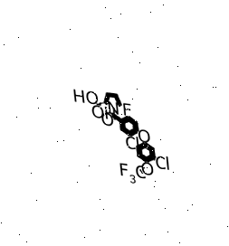 O=C(c1cc(Cl)c(Oc2ccc(OC(F)(F)F)c(Cl)c2)cc1F)N1CCC[C@H]1C(O)O